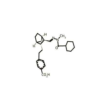 CN(N=C[C@H]1[C@H](CCc2ccc(C(=O)O)cc2)[C@H]2CC[C@@H]1O2)C(=O)C1CCCCC1